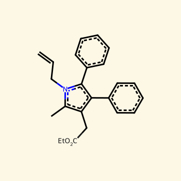 C=CCn1c(C)c(CC(=O)OCC)c(-c2ccccc2)c1-c1ccccc1